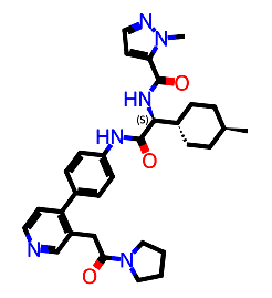 Cn1nccc1C(=O)N[C@H](C(=O)Nc1ccc(-c2ccncc2CC(=O)N2CCCC2)cc1)[C@H]1CC[C@H](C)CC1